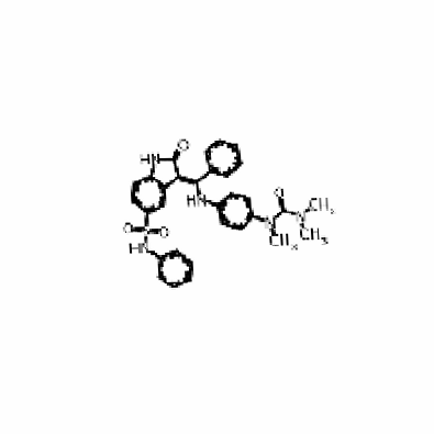 CN(C)C(=O)N(C)c1ccc(NC(=C2C(=O)Nc3ccc(S(=O)(=O)Nc4ccccc4)cc32)c2ccccc2)cc1